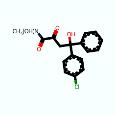 CN(O)C(=O)C(=O)CC(O)(c1ccccc1)c1ccc(Cl)cc1